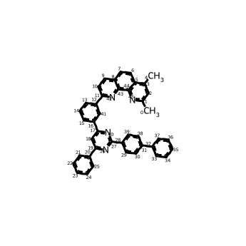 Cc1cc(C)c2ccc3ccc(-c4cccc(-c5cc(-c6ccccc6)nc(-c6ccc(-c7ccccc7)cc6)n5)c4)nc3c2n1